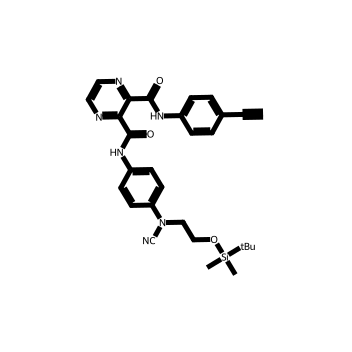 C#Cc1ccc(NC(=O)c2nccnc2C(=O)Nc2ccc(N(C#N)CCO[Si](C)(C)C(C)(C)C)cc2)cc1